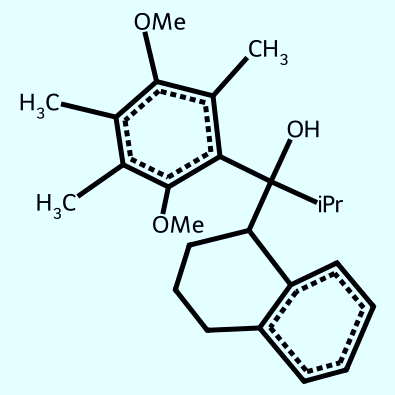 COc1c(C)c(C)c(OC)c(C(O)(C(C)C)C2CCCc3ccccc32)c1C